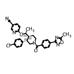 Cc1nc(-c2ccc(C(=O)N3CC[C@H]([C@H](C)Oc4ccc(C#N)cn4)[C@@H](c4ccc(Cl)cc4)C3)cc2)no1